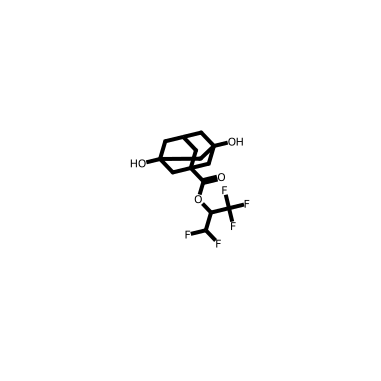 O=C(OC(C(F)F)C(F)(F)F)C12CC3CC(O)(CC(O)(C3)C1)C2